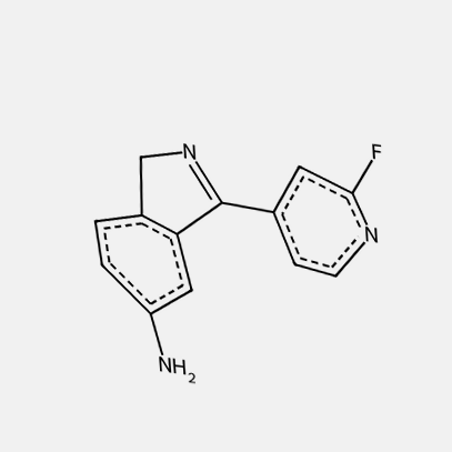 Nc1ccc2c(c1)C(c1ccnc(F)c1)=NC2